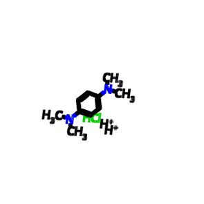 CN(C)c1ccc(N(C)C)cc1.Cl.[H+].[H+]